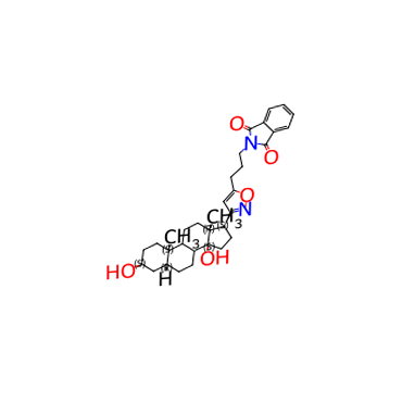 C[C@]12CC[C@H](O)C[C@H]1CCC1C2CC[C@]2(C)[C@@H](c3cc(CCCN4C(=O)c5ccccc5C4=O)on3)CC[C@]12O